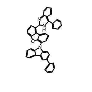 c1ccc(C2=c3ccccc3=NC(c3cccc4oc5c(-n6c7ccccc7c7cc(-c8ccccc8)ccc76)cccc5c34)N2)cc1